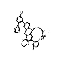 C[C@@H]1CCC[C@H](n2cnc(-c3cc(Cl)ccc3-n3cnnn3)cc2=O)c2cc(c3c(n2)OCCO3)-c2cc(F)ccc2NC1=O